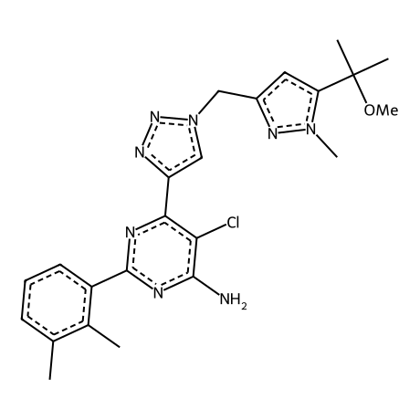 COC(C)(C)c1cc(Cn2cc(-c3nc(-c4cccc(C)c4C)nc(N)c3Cl)nn2)nn1C